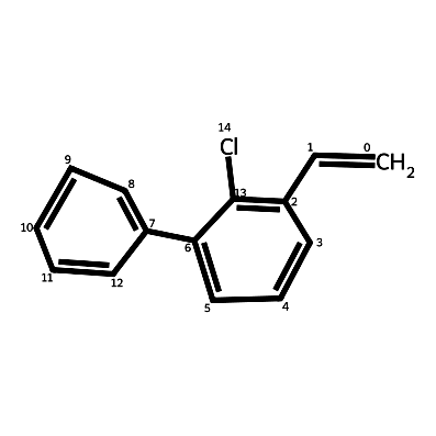 C=Cc1cccc(-c2ccccc2)c1Cl